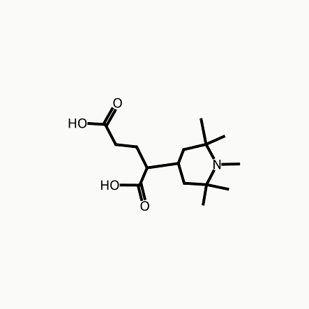 CN1C(C)(C)CC(C(CCC(=O)O)C(=O)O)CC1(C)C